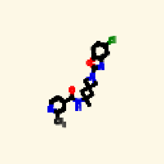 CC1(NC(=O)c2ccnc(C(F)(F)F)c2)CC2(CN(c3nc4cc(Cl)ccc4o3)C2)C1